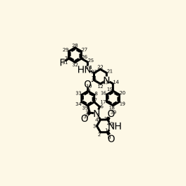 O=C1CCC(N2Cc3cc(O[C@H]4CN(Cc5ccccc5)CC[C@@H]4NCc4cccc(F)c4)ccc3C2=O)C(=O)N1